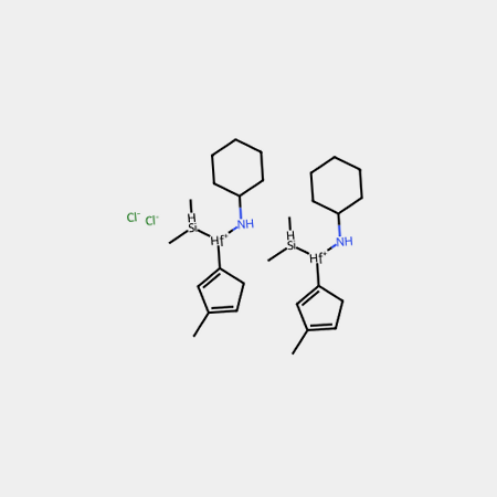 CC1=CC[C]([Hf+]([NH]C2CCCCC2)[SiH](C)C)=C1.CC1=CC[C]([Hf+]([NH]C2CCCCC2)[SiH](C)C)=C1.[Cl-].[Cl-]